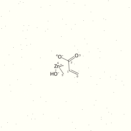 C=CC(=O)[O-].[CH3][Zn+2].[OH-]